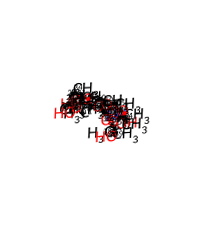 CC[C@@H](C(=O)[C@@H](C)[C@@H](O)C1(C)C[C@]12O[C@@H]([C@@H](CC)C(=O)O)CC[C@@H]2C)[C@H]1O[C@]2(C=C[C@@H](NC(=O)OCCC(C)(C)O)[C@]3(CC[C@@](C)([C@H]4CC[C@](O)(CC)[C@H](C)O4)O3)O2)[C@H](C)C[C@@H]1C